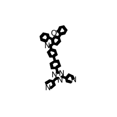 c1ccc2c(c1)nc(-c1ccc(-c3ccc(-c4nc(-c5ccncc5)nc(-c5ccncc5)n4)cc3)cc1)c1ccc3c4ccccc4oc3c12